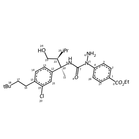 CCOC(=O)c1ccc(N(N)C(=O)N[C@@](C)(c2ccc(CCC(C)(C)C)c(Cl)c2)[C@@H](CO)C(C)C)cc1